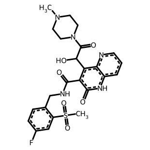 CN1CCN(C(=O)C(O)c2c(C(=O)NCc3ccc(F)cc3S(C)(=O)=O)c(=O)[nH]c3cccnc23)CC1